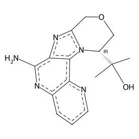 CC(C)(O)[C@H]1COCc2nc3c(N)nc4cccnc4c3n21